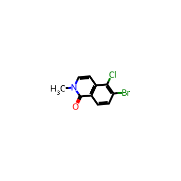 Cn1ccc2c(Cl)c(Br)ccc2c1=O